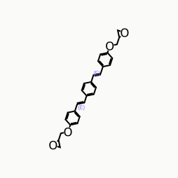 C(=C\c1ccc(OCC2CO2)cc1)/c1ccc(/C=C/c2ccc(OCC3CO3)cc2)cc1